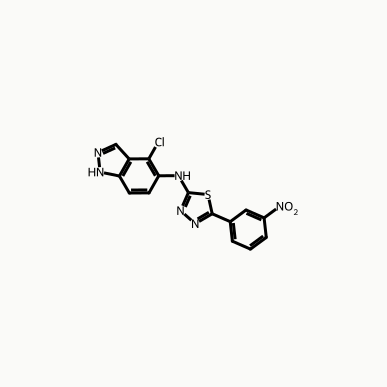 O=[N+]([O-])c1cccc(-c2nnc(Nc3ccc4[nH]ncc4c3Cl)s2)c1